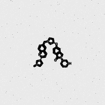 CN1CC[C@@H](c2ccc3cc(CN4CC[C@H](Oc5ccc6c(c5)CN(C5CCCNC5)C6=O)C4)ccc3n2)C1